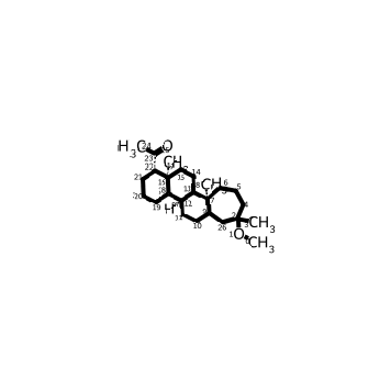 COC1(C)CCC[C@@]2(C)C(CC[C@@H]3C2CC[C@@]2(C)C3CCC[C@@H]2C(C)=O)C1